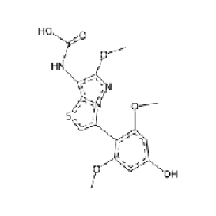 COc1cc(O)cc(OC)c1-c1csc2c(NC(=O)O)c(OC)nn12